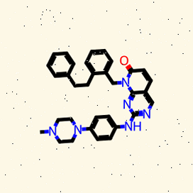 CN1CCN(c2ccc(Nc3ncc4ccc(=O)n(Cc5ccccc5CCc5ccccc5)c4n3)cc2)CC1